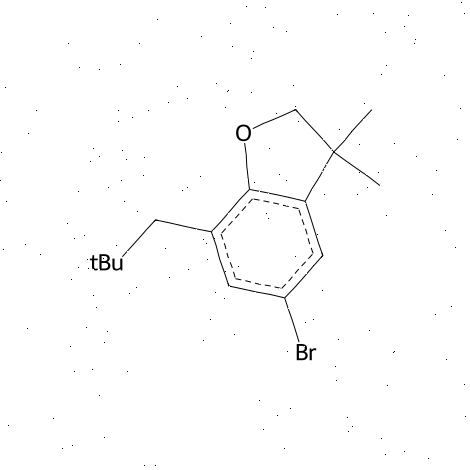 CC(C)(C)Cc1cc(Br)cc2c1OCC2(C)C